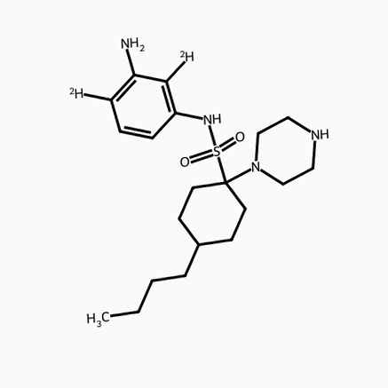 [2H]c1ccc(NS(=O)(=O)C2(N3CCNCC3)CCC(CCCC)CC2)c([2H])c1N